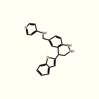 c1ccc2oc(C3CNNc4ccc(CNc5ccncc5)cc43)cc2c1